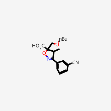 CCCCOCC1(C(=O)O)ON=C(c2cccc(C#N)c2)C1C